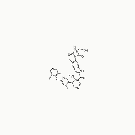 Cc1cc(Oc2c(F)cccc2F)ncc1C1CN=CC(C(=O)c2cc3cc(C)c(N4C(=O)N[C@@H](CO)C4=O)cc3[nH]2)=C1N